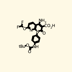 CC(C)(C)OC(=O)Nc1ccc(-n2c(=O)c(C(=O)O)c(N)c3ccc(OC(F)F)nc32)cc1